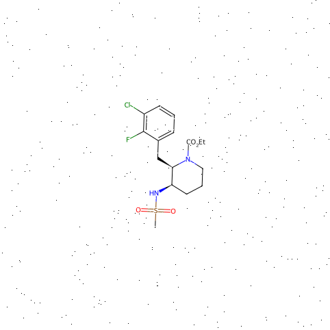 CCOC(=O)N1CCC[C@@H](NS(C)(=O)=O)[C@H]1Cc1cccc(Cl)c1F